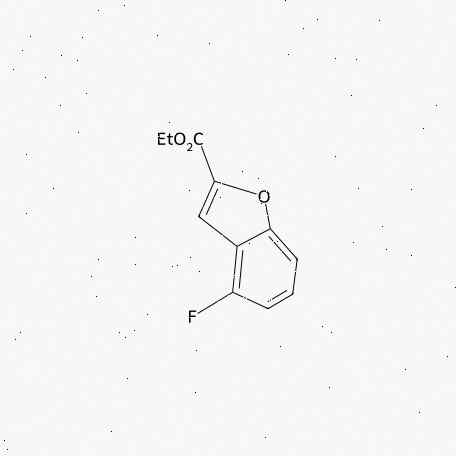 CCOC(=O)c1cc2c(F)cccc2o1